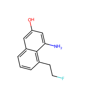 Nc1cc(O)cc2cccc(CCF)c12